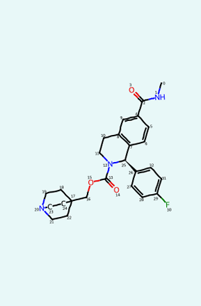 CNC(=O)c1ccc2c(c1)CCN(C(=O)OCC13CCN(CC1)CC3)[C@@H]2c1ccc(F)cc1